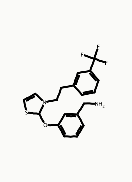 NCc1cccc(OC2SC=CN2CCc2cccc(C(F)(F)F)c2)c1